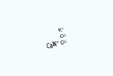 [Ca+2].[K+].[K+].[O-2].[O-2]